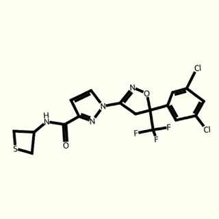 O=C(NC1CSC1)c1ccn(C2=NOC(c3cc(Cl)cc(Cl)c3)(C(F)(F)F)C2)n1